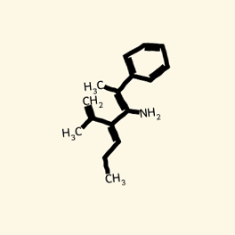 C=C(C)C(=C\CC)/C(N)=C(\C)c1ccccc1